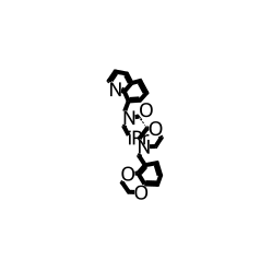 CC(C)CN(Cc1cccc2cccnc12)C(=O)[C@H]1CN(Cc2cccc3c2OCCO3)CCO1